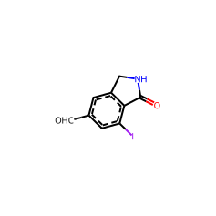 O=Cc1cc(I)c2c(c1)CNC2=O